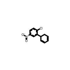 O=[N+]([O-])c1ccc(Cl)c(C2C=CC=CC2)c1